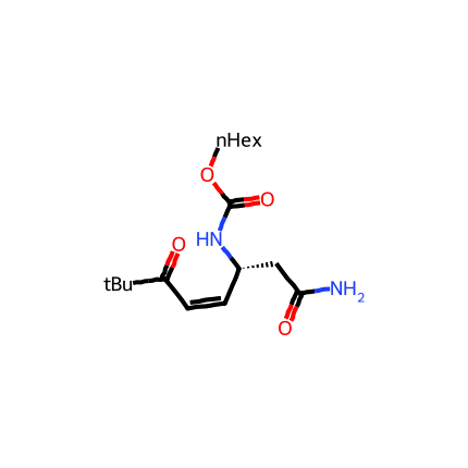 CCCCCCOC(=O)N[C@@H](/C=C\C(=O)C(C)(C)C)CC(N)=O